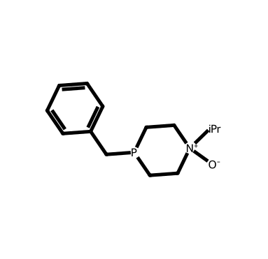 CC(C)[N+]1([O-])CCP(Cc2ccccc2)CC1